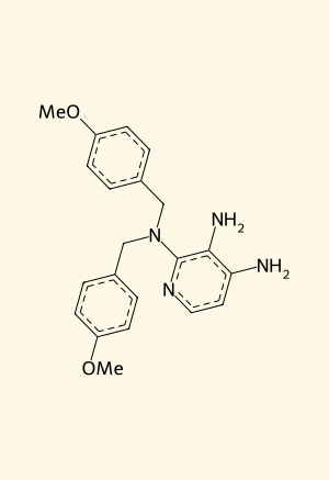 COc1ccc(CN(Cc2ccc(OC)cc2)c2nccc(N)c2N)cc1